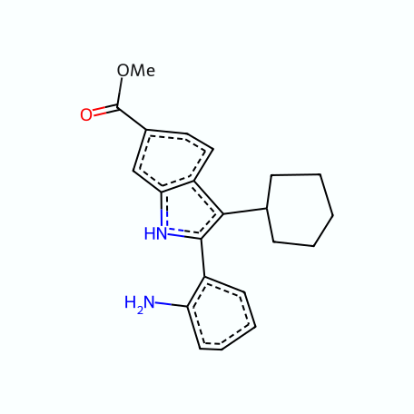 COC(=O)c1ccc2c(C3CCCCC3)c(-c3ccccc3N)[nH]c2c1